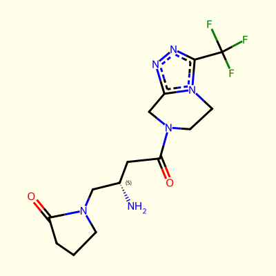 N[C@@H](CC(=O)N1CCn2c(nnc2C(F)(F)F)C1)CN1CCCC1=O